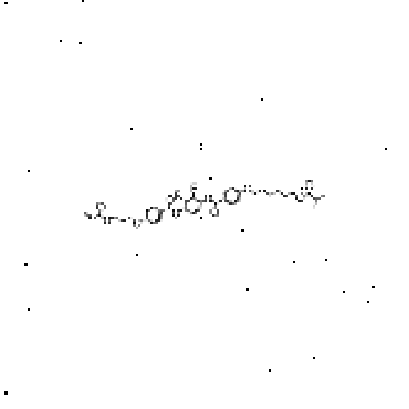 C=CC(=O)OCCCOc1ccc(C(=O)Oc2ccc(OC(=O)c3ccc(OCCCCCCOC(=O)C(=C)C)cc3)c(F)c2F)cc1